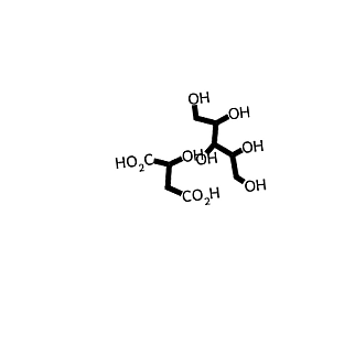 O=C(O)CC(O)C(=O)O.OCC(O)C(O)C(O)CO